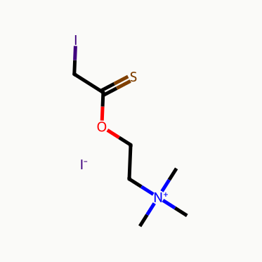 C[N+](C)(C)CCOC(=S)CI.[I-]